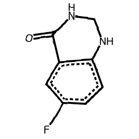 O=C1NCNc2ccc(F)cc21